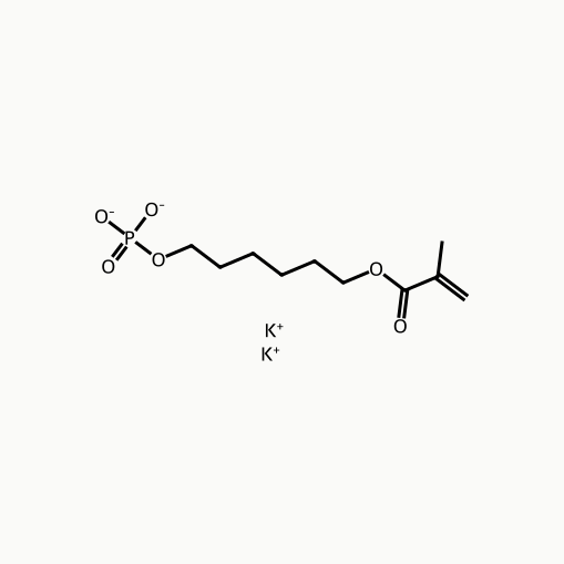 C=C(C)C(=O)OCCCCCCOP(=O)([O-])[O-].[K+].[K+]